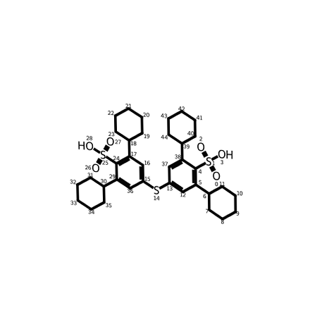 O=S(=O)(O)c1c(C2CCCCC2)cc(Sc2cc(C3CCCCC3)c(S(=O)(=O)O)c(C3CCCCC3)c2)cc1C1CCCCC1